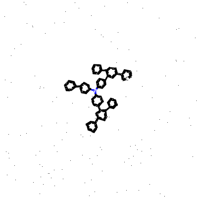 c1ccc(-c2ccc(N(c3ccc(-c4cc(-c5ccccc5)ccc4-c4ccccc4)cc3)c3ccc(-c4cc(-c5ccccc5)ccc4-c4ccccc4)cc3)cc2)cc1